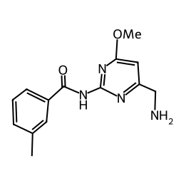 COc1cc(CN)nc(NC(=O)c2cccc(C)c2)n1